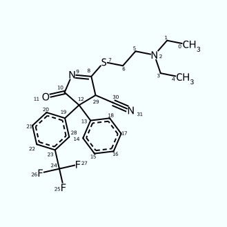 CCN(CC)CCSC1=NC(=O)C(c2ccccc2)(c2cccc(C(F)(F)F)c2)C1C#N